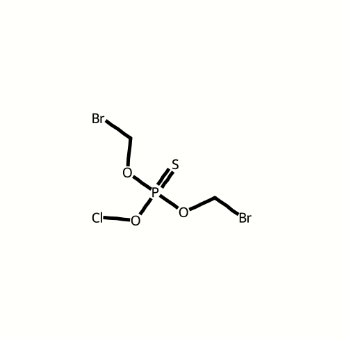 S=P(OCl)(OCBr)OCBr